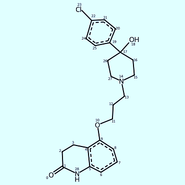 O=C1CCc2c(cccc2OCCCN2CCC(O)(c3ccc(Cl)cc3)CC2)N1